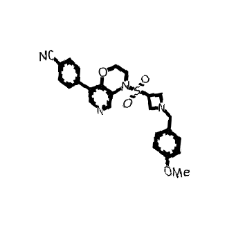 COc1ccc(CN2CC(S(=O)(=O)N3CCOc4c(-c5ccc(C#N)cc5)cncc43)C2)cc1